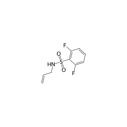 C=CCNS(=O)(=O)c1c(F)cccc1F